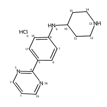 Cl.c1cnc(-c2ccc(NC3CCNCC3)cc2)nc1